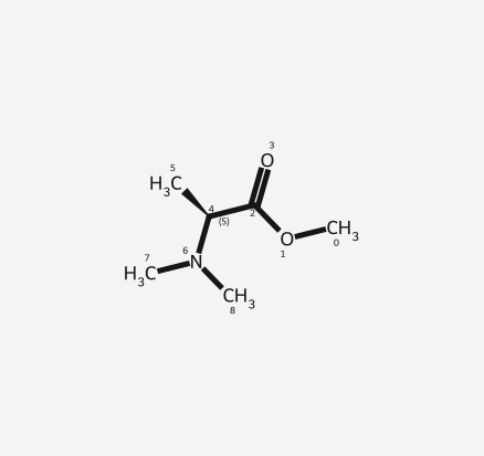 COC(=O)[C@H](C)N(C)C